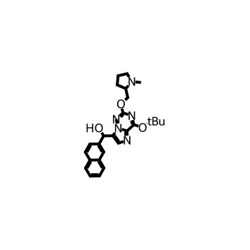 CN1CCCC1COc1nc(OC(C)(C)C)c2ncc(C(O)c3ccc4ccccc4c3)n2n1